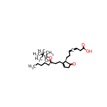 CCCCC[C@H](CCC1=CCC(=O)[C@@H]1CCC=C=CCC(=O)O)O[Si](C)(C)C(C)(C)C